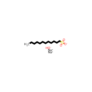 CCCCCCCCCCCCS(=O)(=O)[O-].[Na+].[Na+].[OH-]